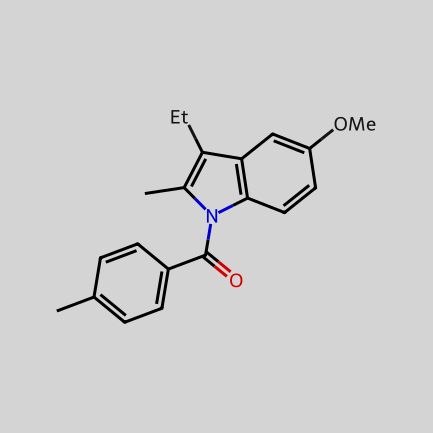 CCc1c(C)n(C(=O)c2ccc(C)cc2)c2ccc(OC)cc12